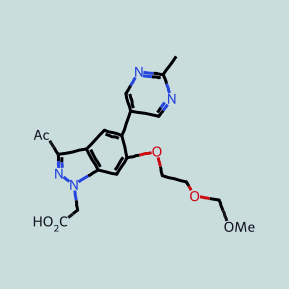 COCOCCOc1cc2c(cc1-c1cnc(C)nc1)c(C(C)=O)nn2CC(=O)O